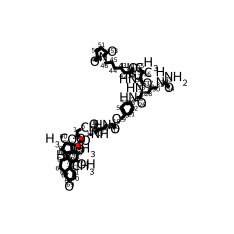 CCC(=O)O[C@]1(C(=O)COCNC(=O)CNC(=O)OCc2ccc(NC(=O)[C@H](CCCNC(N)=O)NC(=O)[C@@H](NC(=O)CCCCCN3C(=O)C=CC3=O)C(C)C)cc2)[C@@H](C)CC2[C@@H]3CCC4=CC(=O)C=C[C@]4(C)[C@@]3(Cl)[C@@H](O)C[C@@]21C